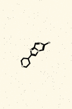 Brc1cn2cc(C3CCOCC3)nc2cn1